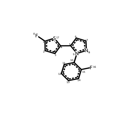 Fc1ccc(-c2c[c]nn2-c2ccccc2F)s1